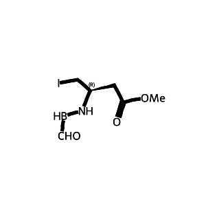 COC(=O)C[C@H](CI)NBC=O